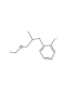 [CH2]c1ccccc1CC(C)COCC